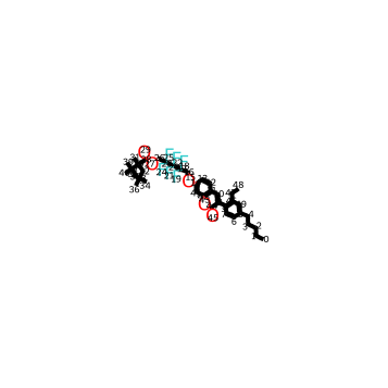 CCCCCc1ccc(-c2cc3ccc(OCC(F)(F)C(F)(F)C(F)(F)COC(=O)C(C)(CC(C)(C)C)C(C)(C)C)cc3oc2=O)c(CC)c1